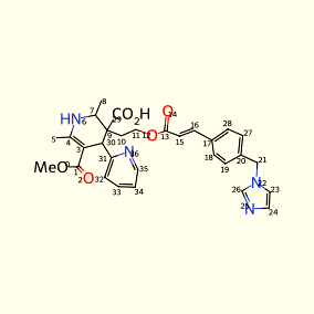 COC(=O)C1=C(C)NC(C)C(CCOC(=O)/C=C/c2ccc(Cn3ccnc3)cc2)(C(=O)O)C1c1ccccn1